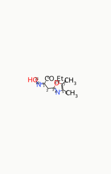 CCOC(=O)/C(Cc1nc(C)c(C)o1)=N\O